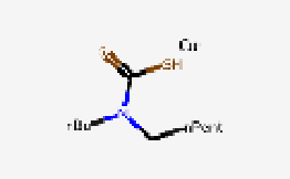 CCCCCCN(CCCC)C(=S)S.[Cu]